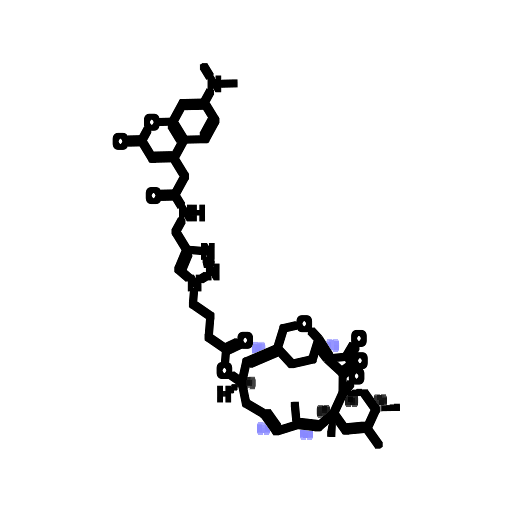 CC1=C[C@]2(C)/C=C(C)/C=C/C[C@@H](OC(=O)CCCn3cc(CNC(=O)Cc4cc(=O)oc5cc(N(C)C)ccc45)nn3)/C=C3/CC/C(=C4\C(=O)O[C@]2(C[C@@H]1C)C4=O)OC3